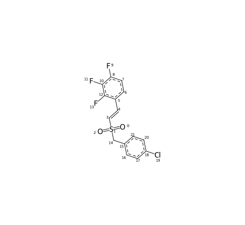 O=S(=O)(/C=C/c1ccc(F)c(F)c1F)Cc1ccc(Cl)cc1